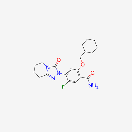 NC(=O)c1cc(F)c(-n2nc3n(c2=O)CCCC3)cc1OCC1CCCCC1